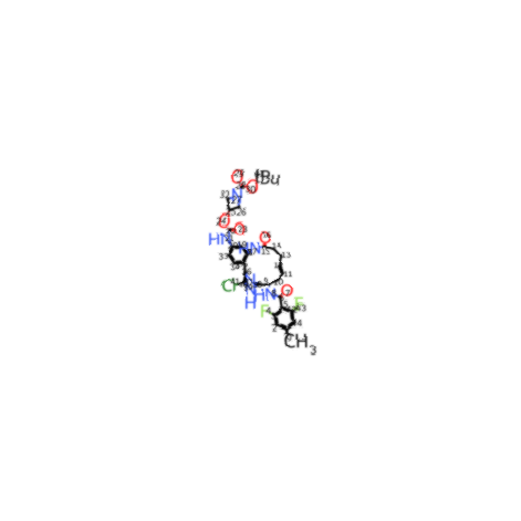 Cc1cc(F)c(C(=O)N[C@H]2C/C=C/CCC(=O)Nc3cc(NC(=O)OC4CN(C(=O)OC(C)(C)C)C4)ccc3-c3nc2[nH]c3Cl)c(F)c1